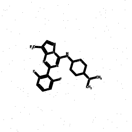 CN(C)C1CCC(Nc2nc(-c3c(F)cccc3F)nc3c(C(F)(F)F)cnn23)CC1